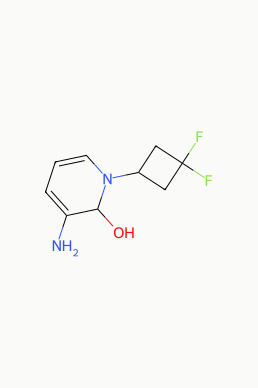 NC1=CC=CN(C2CC(F)(F)C2)C1O